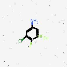 F.F.Nc1ccc(F)c(Cl)c1